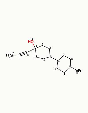 CCCC1CCC(C2CCC(O)(C#C[SiH3])CC2)CC1